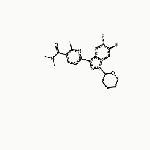 Cc1nc(-c2nn(C3CCCCO3)c3cc(F)c(F)cc23)ccc1C(=O)N(C)C